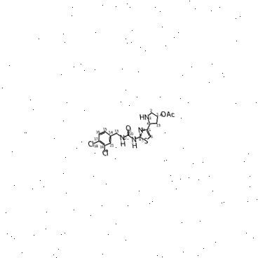 CC(=O)O[C@H]1CNC(c2csc(NC(=O)NCc3ccc(Cl)c(Cl)c3)n2)C1